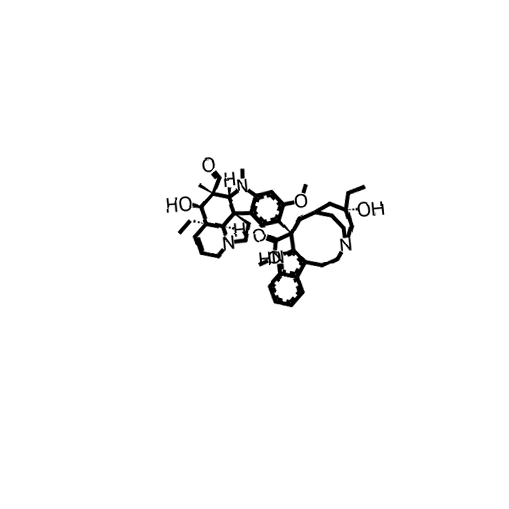 CC[C@]1(O)CC2CCN(CCc3c([nH]c4ccccc34)[C@@](C(=O)OC)(c3cc4c(cc3OC)N(C)[C@H]3[C@@](C)(C=O)[C@H](O)[C@]5(CC)C=CCN6CC[C@]43[C@@H]65)C2)C1